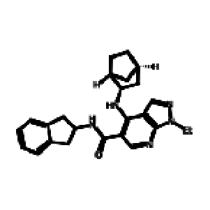 CCn1ncc2c(N[C@@H]3C[C@@H]4CC[C@@H]3C4)c(C(=O)NC3Cc4ccccc4C3)cnc21